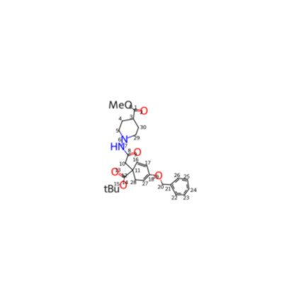 COC(=O)C1CCN(NC(=O)CC2(C(=O)OC(C)(C)C)C=CC(OCc3ccccc3)=CC2)CC1